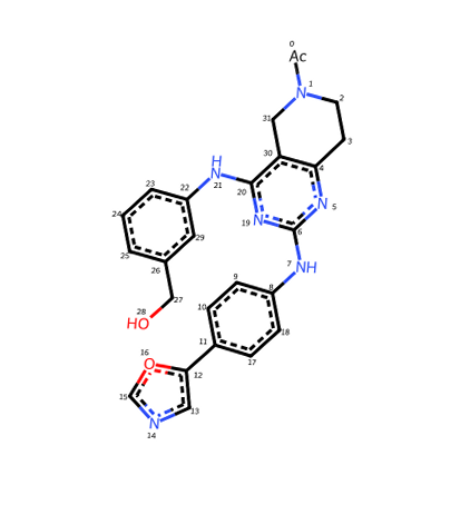 CC(=O)N1CCc2nc(Nc3ccc(-c4cnco4)cc3)nc(Nc3cccc(CO)c3)c2C1